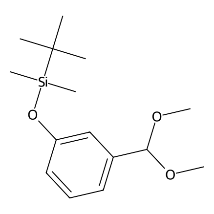 COC(OC)c1cccc(O[Si](C)(C)C(C)(C)C)c1